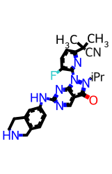 CC(C)n1c(=O)c2cnc(Nc3ccc4c(c3)CCNC4)nc2n1-c1nc(C(C)(C)C#N)ccc1F